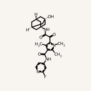 Cc1c(C(=O)Nc2ccnc(F)c2)c(C)n(C)c1C(=O)C(=O)N[C@@]12C[C@@H]3C[C@@H](C[C@@](O)(C3)C1)C2